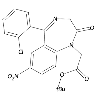 CC(C)(C)OC(=O)CN1C(=O)CN=C(c2ccccc2Cl)c2cc([N+](=O)[O-])ccc21